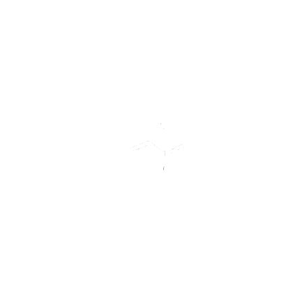 C=C[PH](=O)O.[AlH3]